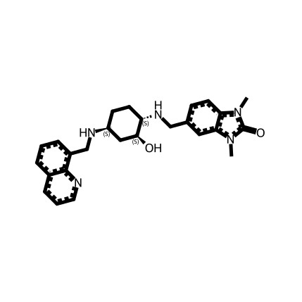 Cn1c(=O)n(C)c2cc(CN[C@H]3CC[C@H](NCc4cccc5cccnc45)C[C@@H]3O)ccc21